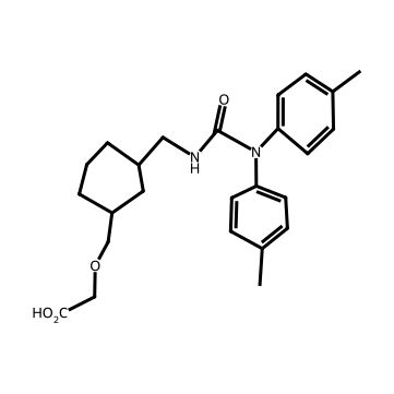 Cc1ccc(N(C(=O)NCC2CCCC(COCC(=O)O)C2)c2ccc(C)cc2)cc1